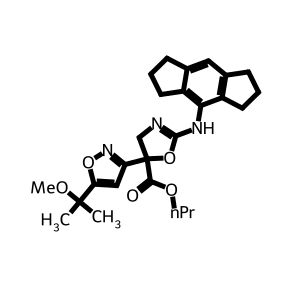 CCCOC(=O)C1(c2cc(C(C)(C)OC)on2)CN=C(Nc2c3c(cc4c2CCC4)CCC3)O1